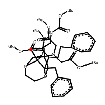 CC(C)(C)OC(=O)CN(CC(=O)OC(C)(C)C)C1(CCNC(=O)OC(C)(C)C)CN2CCN(C1)C(Cc1ccccc1)([C@H](CCc1ccccc1)C(=O)OC(C)(C)C)[C@H]2C(=O)OC(C)(C)C